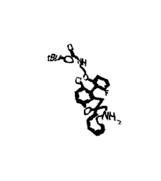 CC(C)(C)OC(=O)NCCOc1cccc(F)c1-c1c(Cl)ccc2c1CC(CN)(c1ccccc1)O2